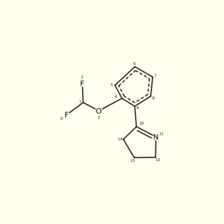 FC(F)Oc1ccccc1C1=NCCC1